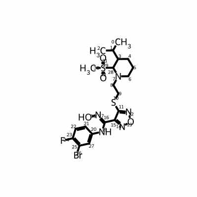 CC(C)C1CCCN(CCSc2nonc2C(=NO)Nc2ccc(F)c(Br)c2)C1S(C)(=O)=O